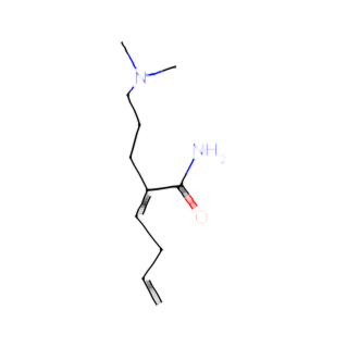 C=CCC=C(CCCN(C)C)C(N)=O